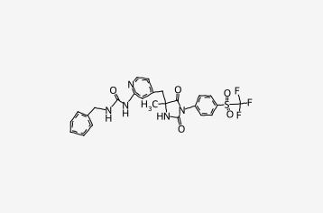 CC1(Cc2ccnc(NC(=O)NCc3ccccc3)c2)NC(=O)N(c2ccc(S(=O)(=O)C(F)(F)F)cc2)C1=O